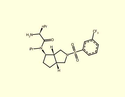 CCC[C@H](N)C(=O)N(C(C)C)[C@@H]1CC[C@H]2CN(S(=O)(=O)c3cccc(C(F)(F)F)c3)C[C@H]21